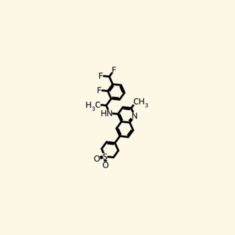 Cc1cc(NC(C)c2cccc(C(F)F)c2F)c2cc(C3=CCS(=O)(=O)CC3)ccc2n1